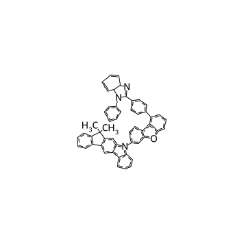 CC1(C)c2ccccc2-c2cc3c4ccccc4n(-c4ccc5c(c4)oc4cccc(-c6ccc(C7=NC8C=CC=CC8N7c7ccccc7)cc6)c45)c3cc21